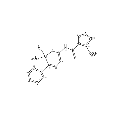 COC1(Cl)CC(NC(=O)c2ccsc2C(=O)O)=CC=C1c1ccccc1